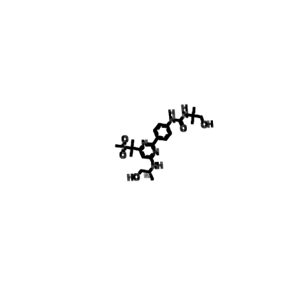 C[C@@H](CO)Nc1cc(C(C)(C)S(C)(=O)=O)nc(-c2ccc(NC(=O)NC(C)(C)CO)cc2)n1